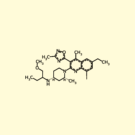 CCc1cc(I)c2nc(N3CC[C@@H](NC(CC)COC)C[C@H]3C)c(-c3nc(C)no3)c(C)c2c1